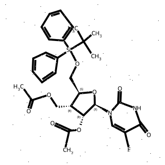 CC(=O)OC[C@H]1[C@@H](OC(C)=O)[C@H](n2cc(F)c(=O)[nH]c2=O)O[C@@H]1CO[Si](c1ccccc1)(c1ccccc1)C(C)(C)C